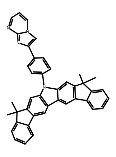 CC1(C)c2ccccc2-c2cc3c4cc5c(cc4n(-c4ccc(-c6cn7cccnc7n6)cc4)c3cc21)C(C)(C)c1ccccc1-5